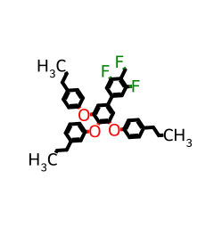 CCCc1ccc(Oc2cc(-c3cc(F)c(CF)c(F)c3)cc(Oc3ccc(CCC)cc3)c2Oc2cccc(CCC)c2)cc1